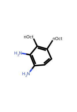 CCCCCCCCc1ccc(N)c(N)c1CCCCCCCC